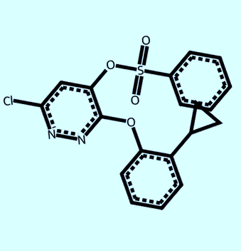 O=S(=O)(Oc1cc(Cl)nnc1Oc1ccccc1C1CC1)c1ccccc1